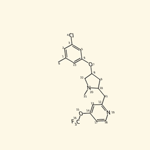 Cc1cc(Cl)cc(OC2CC(Cc3cc(OC(F)(F)F)ccn3)N(C)C2)c1